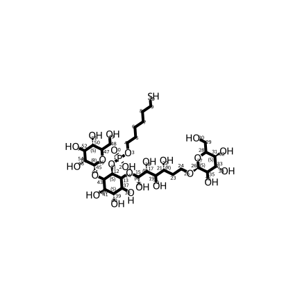 O=P(O)(OCCCCCCS)O[C@H]1C(O[C@@H](O)[C@H](O)C(O)[C@H](O)CCO[C@H]2OC(CO)[C@@H](O)[C@H](O)C2O)C(O)[C@H](O)[C@@H](O)C1O[C@H]1OC(CO)[C@@H](O)C(O)[C@H]1O